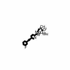 CN(Cc1nc(-c2ccc(C#Cc3cccc(F)c3)cn2)no1)C(=O)OC(C)(C)C